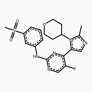 Cc1ncc(-c2nc(Nc3cccc(S(C)(=O)=O)c3)ncc2F)n1C1CCOCC1